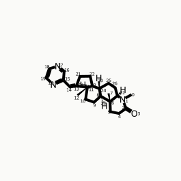 CN1C(=O)CC[C@]2(C)[C@H]3CC[C@]4(C)/C(=C/c5cnccn5)CC[C@H]4[C@@H]3CC[C@@H]12